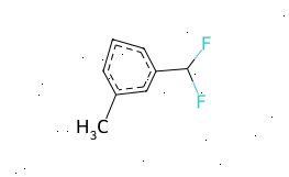 Cc1cccc(C(F)F)c1